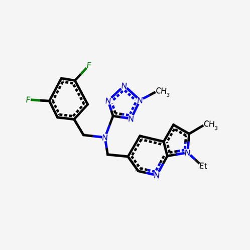 CCn1c(C)cc2cc(CN(Cc3cc(F)cc(F)c3)c3nnn(C)n3)[c]nc21